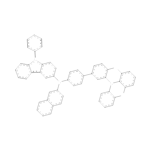 c1ccc(-n2c3ccccc3c3cc(N(c4ccc(-c5ccc6c(c5)N5c7ccccc7Oc7cccc(c75)O6)cc4)c4ccc5ccccc5c4)ccc32)cc1